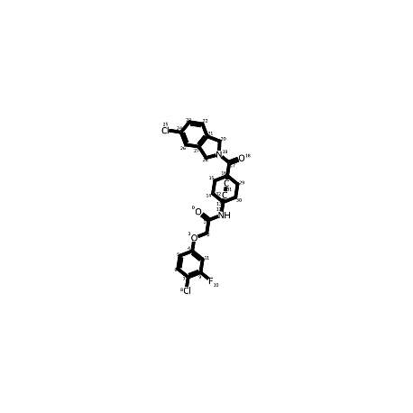 O=C(COc1ccc(Cl)c(F)c1)NC12CCC(C(=O)N3Cc4ccc(Cl)cc4C3)(CC1)CC2